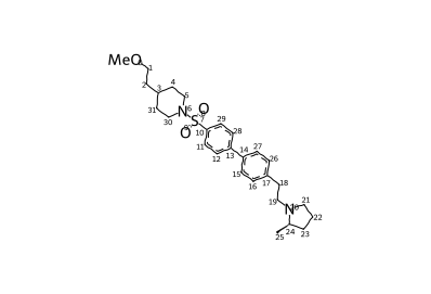 COCCC1CCN(S(=O)(=O)c2ccc(-c3ccc(CCN4CCC[C@H]4C)cc3)cc2)CC1